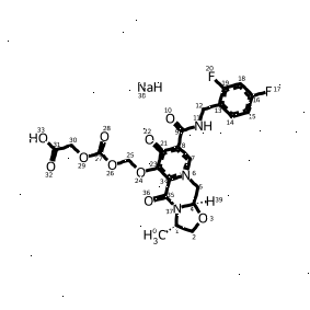 C[C@H]1CO[C@@H]2Cn3cc(C(=O)NCc4ccc(F)cc4F)c(=O)c(OCOC(=O)OCC(=O)O)c3C(=O)N12.[NaH]